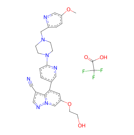 COc1ccc(CN2CCN(c3ccc(-c4cc(OCCO)cn5ncc(C#N)c45)cn3)CC2)nc1.O=C(O)C(F)(F)F